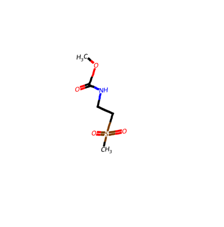 COC(=O)NCCS(C)(=O)=O